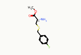 COC(=O)[C@H](N)CSCc1ccc(F)cc1